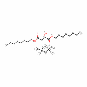 CCCCCCCCOC(=O)CC(O)C(=O)OCCCCCCCC.C[C](C)(C)[Sn][C](C)(C)C